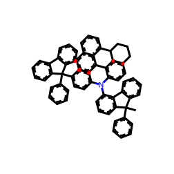 CC1(c2ccccc2)c2ccccc2-c2c(N(c3ccc(C4(c5ccccc5)c5ccccc5-c5ccccc54)cc3)c3ccccc3-c3cccc4cccc(C5CCCCC5)c34)cccc21